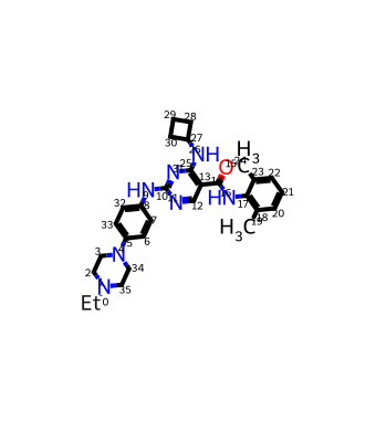 CCN1CCN(c2ccc(Nc3ncc(C(=O)Nc4c(C)cccc4C)c(NC4CCC4)n3)cc2)CC1